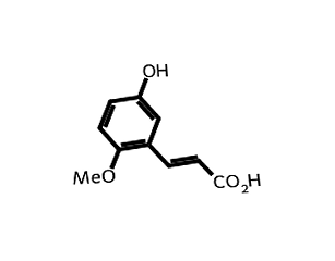 COc1ccc(O)cc1/C=C/C(=O)O